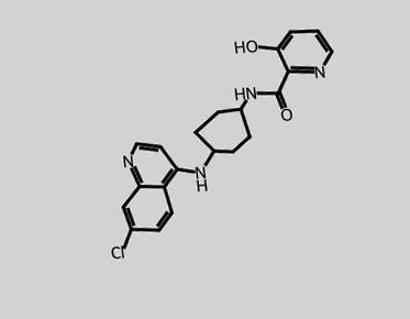 O=C(NC1CCC(Nc2ccnc3cc(Cl)ccc23)CC1)c1ncccc1O